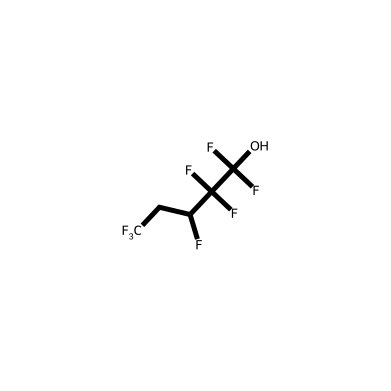 OC(F)(F)C(F)(F)C(F)CC(F)(F)F